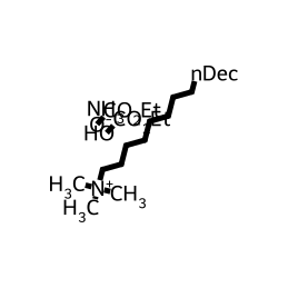 CCCCCCCCCCCCCCCCCC[N+](C)(C)C.CCOC(=O)O.CCOC(=O)[O-].N